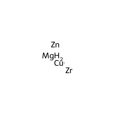 [Cu].[MgH2].[Zn].[Zr]